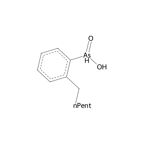 CCCCCCc1ccccc1[AsH](=O)O